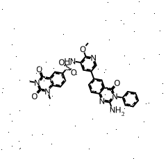 COc1ncc(-c2ccc3nc(N)n(-c4ccccc4)c(=O)c3c2)cc1NS(=O)(=O)c1ccc2c(c1)c(=O)n(C)c(=O)n2C